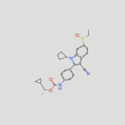 CC[S+]([O-])c1ccc2c(C#N)c(-c3ccc(NC(=O)O[C@H](C)C4CC4)cc3)n(C3CCC3)c2c1